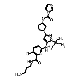 CC(C)(C)n1nc([C@H]2CC[C@@H](OC(=O)n3ccnc3)C2)cc1Nc1ccc(Cl)c(C(=O)NCCCN)n1